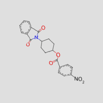 O=C(OC1CCC(N2C(=O)c3ccccc3C2=O)CC1)c1ccc([N+](=O)[O-])cc1